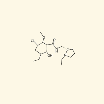 CCC1CC(Cl)C(OC)C(C(=O)NC[C@@H]2CCCN2CC)C1O